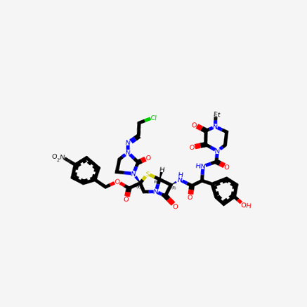 CCN1CCN(C(=O)NC(C(=O)N[C@@H]2C(=O)N3C[C@@](C(=O)OCc4ccc([N+](=O)[O-])cc4)(N4CCN(N=CCCl)C4=O)S[C@H]23)c2ccc(O)cc2)C(=O)C1=O